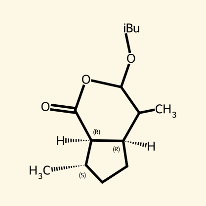 CCC(C)OC1OC(=O)[C@H]2[C@H](CC[C@@H]2C)C1C